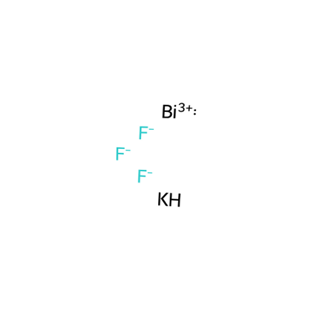 [Bi+3].[F-].[F-].[F-].[KH]